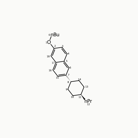 CCCCOc1ccc2cc([C@H]3CC[C@H](CCC)CC3)ccc2c1